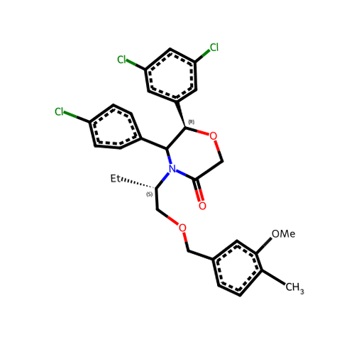 CC[C@@H](COCc1ccc(C)c(OC)c1)N1C(=O)CO[C@H](c2cc(Cl)cc(Cl)c2)C1c1ccc(Cl)cc1